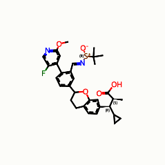 COc1cc(-c2ccc(C3CCc4ccc([C@H](C5CC5)[C@H](C)C(=O)O)cc4O3)cc2C=N[S@@+]([O-])C(C)(C)C)c(F)cn1